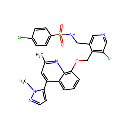 Cc1cc(-c2ccnn2C)c2cccc(OCc3c(Cl)cncc3CNS(=O)(=O)c3ccc(Cl)cc3)c2n1